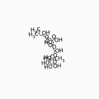 CCC(C)CC(O)COC(=O)CC(O)(CC(=O)OCC(O)COC(C)(C)C1OC(O)C(O)C(O)C1O)C(=O)O